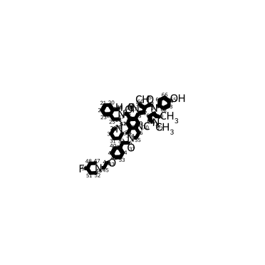 Cc1c(N(C(=O)c2cc(-c3cc4c(cc3C(=O)N3Cc5ccccc5C[C@H]3CN3CCCCC3)CN(C(=O)Cc3ccc(OCCN5CCC(F)CC5)cc3)CC4)n(C)c2C)c2ccc(O)cc2)cc(C#N)n1C